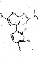 CN(C)c1nc2nc(Cl)nc(-c3ccc(F)c(F)c3F)c2s1